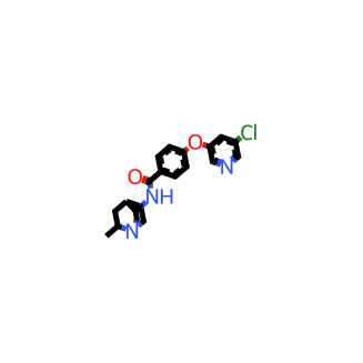 CC1CC2CCN1CC2NC(=O)c1ccc(Oc2cncc(Cl)c2)cc1